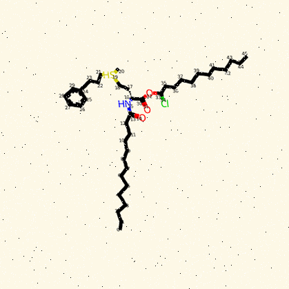 CCCCCCCCCCCCCC(=O)N[C@H](CC[SH](C)CCCc1ccccc1)C(=O)OC(Cl)CCCCCCCCCCC